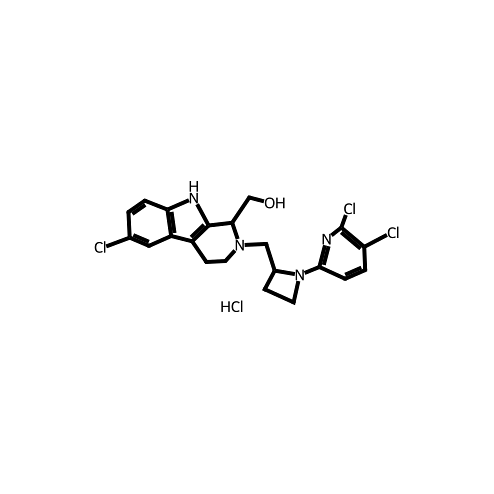 Cl.OCC1c2[nH]c3ccc(Cl)cc3c2CCN1CC1CCN1c1ccc(Cl)c(Cl)n1